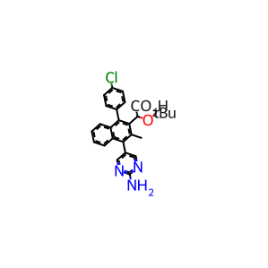 Cc1c(C(OC(C)(C)C)C(=O)O)c(-c2ccc(Cl)cc2)c2ccccc2c1-c1cnc(N)nc1